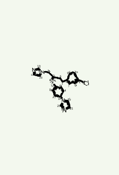 Clc1ccc(CCC(Cn2ccnc2)Sc2ccc(-n3ccnc3)cc2)cc1